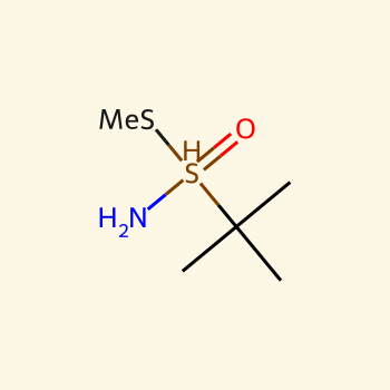 CS[SH](N)(=O)C(C)(C)C